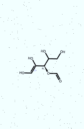 O=CO[C@@H](/C(O)=C/O)C(O)CO